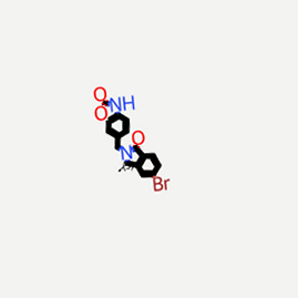 C[C@H]1c2cc(Br)ccc2C(=O)N1Cc1ccc2[nH]c(=O)oc2c1